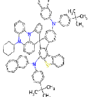 CC(C)(C)c1ccc(N(c2ccc3c(c2)C2(c4ccccc4N4c5ccccc5N(C5CCCCC5)c5cccc2c54)c2cc(N(c4ccc(C(C)(C)C)cc4)c4ccc5ccccc5c4)c4sc5ccccc5c4c2-3)c2ccc3ccccc3c2)cc1